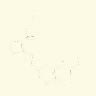 CCOC(=O)c1[nH]ccc1NCc1ccc(Cl)c(OC(F)C(F)F)c1